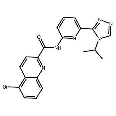 CC(C)n1cnnc1-c1cccc(NC(=O)c2ccc3c(Br)cccc3n2)n1